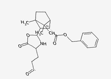 CC1(C)C2CCC1(C)C(C1NC(CC[C]=O)C(=O)O1)[C@H]2C(=O)OCc1ccccc1